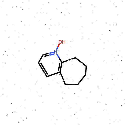 O[n+]1cccc2c1CCCCC2